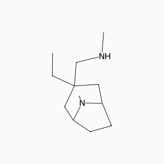 CCC1(CNC)CC2CCC(C1)N2C